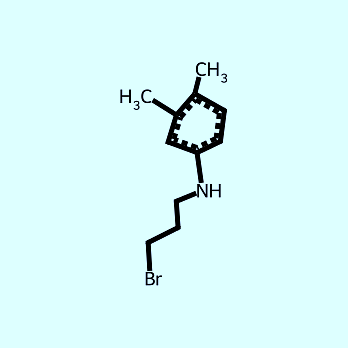 Cc1ccc(NCCCBr)cc1C